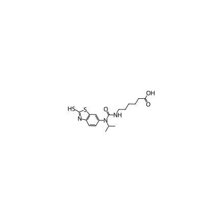 CC(C)N(C(=O)NCCCCCC(=O)O)c1ccc2nc(S)sc2c1